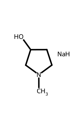 CN1CCC(O)C1.[NaH]